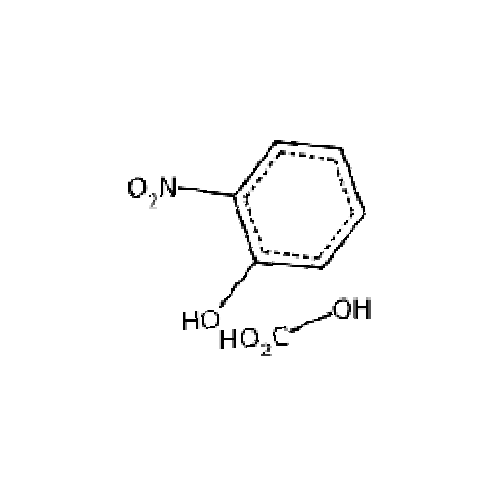 O=C(O)O.O=[N+]([O-])c1ccccc1O